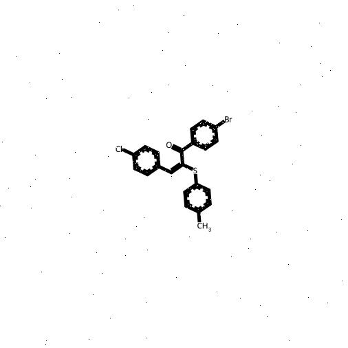 Cc1ccc(SC(=Cc2ccc(Cl)cc2)C(=O)c2ccc(Br)cc2)cc1